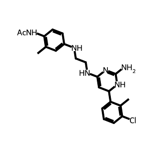 CC(=O)Nc1ccc(NCCNC2=CC(c3cccc(Cl)c3C)NC(N)=N2)cc1C